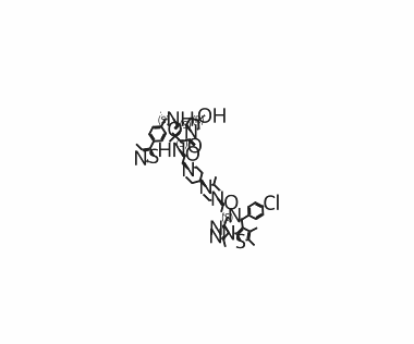 Cc1ncsc1-c1ccc([C@H](C)NC(=O)[C@@H]2C[C@@H](O)CN2C(=O)[C@@H](NC(=O)CN2CCC(N3CCN(C(=O)C[C@@H]4N=C(c5ccc(Cl)cc5)c5c(sc(C)c5C)-n5c(C)nnc54)CC3C)CC2)C(C)(C)C)cc1